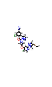 CCSc1c(C)nn(-c2cc(OC3CN(C(=O)N4N=CCC4c4cc(F)cc(C#N)c4)C3)c(F)cn2)c1C